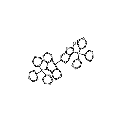 Cc1sc2cc(-c3c4ccccc4c([Si](c4ccccc4)(c4ccccc4)c4ccccc4)c4ccccc34)ccc2c1[Si](c1ccccc1)(c1ccccc1)c1ccccc1